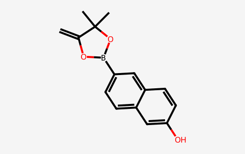 C=C1OB(c2ccc3cc(O)ccc3c2)OC1(C)C